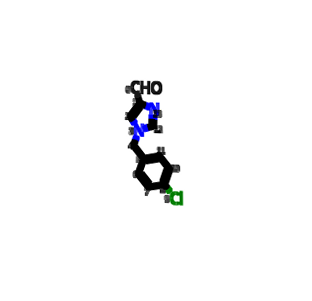 O=Cc1cn(Cc2ccc(Cl)cc2)cn1